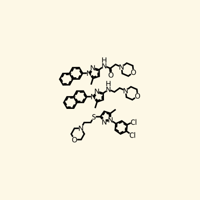 Cc1cc(NC(=O)CN2CCOCC2)nn1-c1ccc2ccccc2c1.Cc1cc(NCCN2CCOCC2)nn1-c1ccc2ccccc2c1.Cc1cc(SCCN2CCOCC2)nn1-c1ccc(Cl)c(Cl)c1